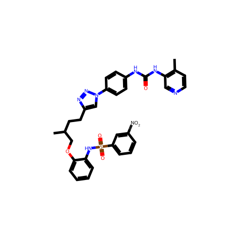 Cc1ccncc1NC(=O)Nc1ccc(-n2cc(CCC(C)COc3ccccc3NS(=O)(=O)c3cccc([N+](=O)[O-])c3)nn2)cc1